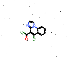 O=C(Cl)c1c(Cl)c2ccccc2n2ccnc12